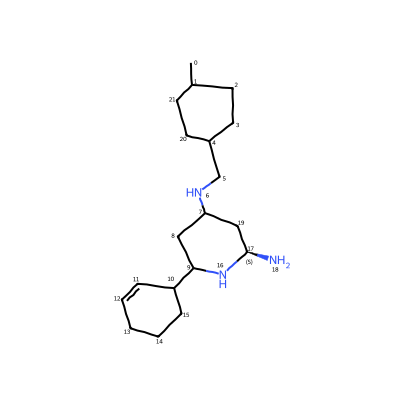 CC1CCC(CNC2CC(C3C=CCCC3)N[C@H](N)C2)CC1